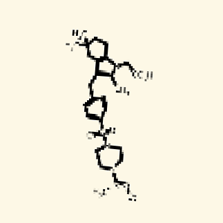 CCO[C@H](C)N1CCN(S(=O)(=O)c2ccc(Cc3c4c(n(CC(=O)O)c3C)CCC(C)(C)C4)cc2)CC1